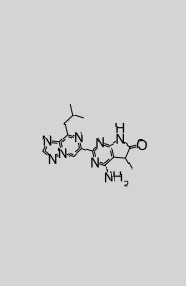 CC(C)Cc1nc(-c2nc(N)c3c(n2)NC(=O)C3C)cn2ncnc12